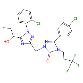 CCC(O)c1nc(Cn2nc(-c3ccc(Cl)cc3)n(CCC(F)(F)F)c2=O)nn1-c1ccccc1Cl